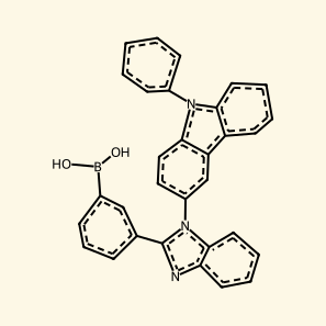 OB(O)c1cccc(-c2nc3ccccc3n2-c2ccc3c(c2)c2ccccc2n3-c2ccccc2)c1